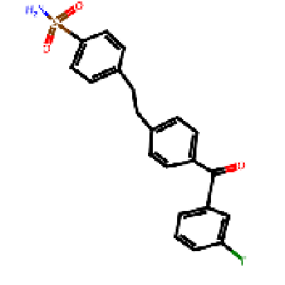 NS(=O)(=O)c1ccc(CCc2ccc(C(=O)c3cccc(F)c3)cc2)cc1